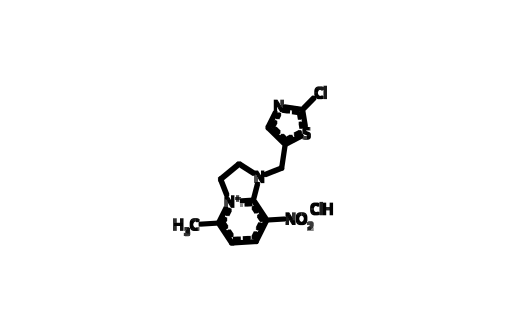 Cc1ccc([N+](=O)[O-])c2[n+]1CCN2Cc1cnc(Cl)s1.Cl